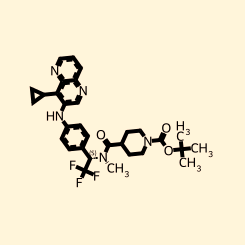 CN(C(=O)C1CCN(C(=O)OC(C)(C)C)CC1)[C@@H](c1ccc(Nc2cnc3cccnc3c2C2CC2)cc1)C(F)(F)F